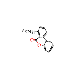 CC(=O)Nc1cccc2c1c(=O)oc1ccccc12